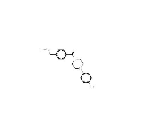 CCNCc1ccc(C(=O)N2CCN(c3ccc(Cl)cc3)CC2)cc1